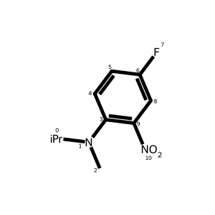 CC(C)N(C)c1ccc(F)cc1[N+](=O)[O-]